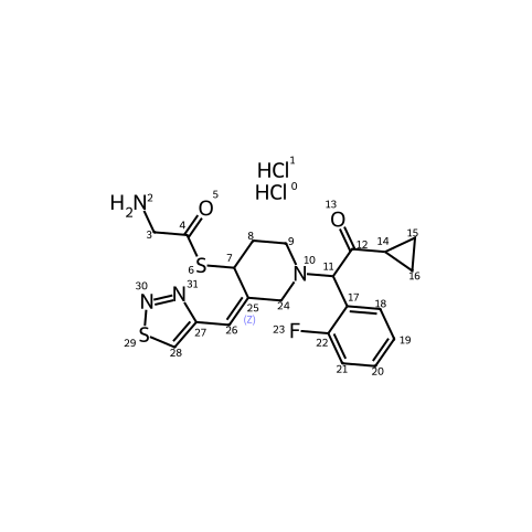 Cl.Cl.NCC(=O)SC1CCN(C(C(=O)C2CC2)c2ccccc2F)C/C1=C/c1csnn1